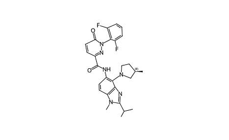 CC(C)c1nc2c(N3CC[C@@H](C)C3)c(NC(=O)c3ccc(=O)n(-c4c(F)cccc4F)n3)ccc2n1C